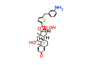 C[C@]12C=CC(=O)C=C1CC[C@H]1[C@@H]3C[C@H]4O[C@H](c5ccc(Cc6cccc(N)c6)s5)O[C@@]4(C(=O)CO)[C@@]3(C)C[C@H](O)[C@@]12F